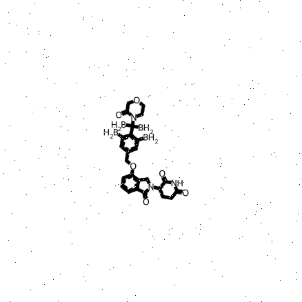 Bc1cc(COc2cccc3c2CN(C2CCC(=O)NC2=O)C3=O)cc(B)c1C(B)(B)N1CCOCC1=O